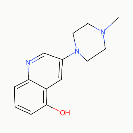 CN1CCN(c2cnc3cccc(O)c3c2)CC1